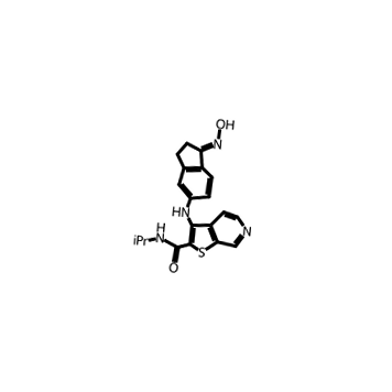 CC(C)NC(=O)c1sc2cnccc2c1Nc1ccc2c(c1)CCC2=NO